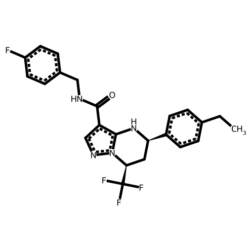 CCc1ccc([C@H]2C[C@@H](C(F)(F)F)n3ncc(C(=O)NCc4ccc(F)cc4)c3N2)cc1